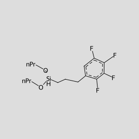 CCCO[SiH](CCCc1cc(F)c(F)c(F)c1F)OCCC